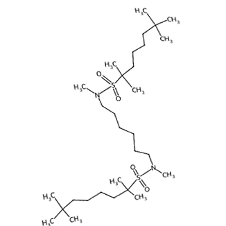 CN(CCCCCCN(C)S(=O)(=O)C(C)(C)CCCCC(C)(C)C)S(=O)(=O)C(C)(C)CCCCC(C)(C)C